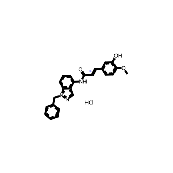 COc1ccc(/C=C/C(=O)Nc2cccc3c2cnn3Cc2ccccc2)cc1O.Cl